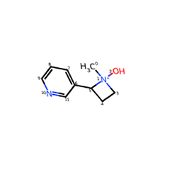 C[N+]1(O)CCC1c1cccnc1